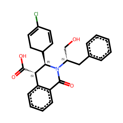 O=C(O)[C@H]1c2ccccc2C(=O)N([C@H](CO)Cc2ccccc2)[C@@H]1C1C=CC(Cl)=CC1